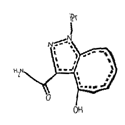 CC(C)n1nc(C(N)=O)c2c(O)cccc21